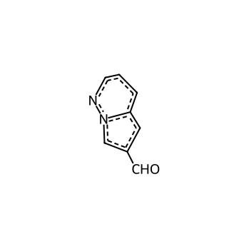 O=Cc1cc2cccnn2c1